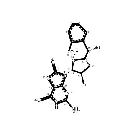 CC[C@@H](c1ccccc1C(=O)O)[C@@H]1C[C@@H](C)[C@H](n2c(=O)sc3c(=O)[nH]c(N)nc32)O1